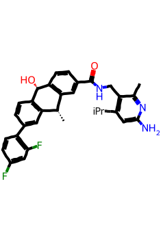 Cc1nc(N)cc(C(C)C)c1CNC(=O)c1ccc2c(c1)[C@H](C)c1cc(-c3ccc(F)cc3F)ccc1[C@@H]2O